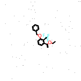 C=C(OCC)c1cccc(OCc2ccccc2)c1C(F)(F)F